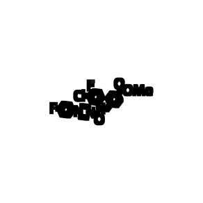 COC(=O)c1ccc(CN(C(=O)N2CCN(c3ccc(F)cc3)CC2)c2ccc(F)c(Cl)c2)cc1